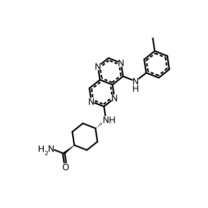 Cc1cccc(Nc2ncnc3cnc(N[C@H]4CC[C@H](C(N)=O)CC4)nc23)c1